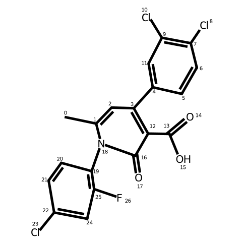 Cc1cc(-c2ccc(Cl)c(Cl)c2)c(C(=O)O)c(=O)n1-c1ccc(Cl)cc1F